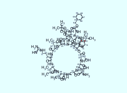 CC[C@H](C)[C@@H]1NC(=O)[C@@H](CCCNC(=N)N)NC(=O)[C@H](CC(C)C)NC(=O)[C@H]([C@H](O)C(C)C)NC(=O)[C@@H](NC(=O)[C@H](CC(C)C)NC(=O)[C@H](CNC(=O)OC(C)(C)C)NC(=O)OCc2ccccc2)[C@@H](c2ccccc2)OC(=O)[C@H](CO)NC(=O)[C@H]([C@H](O)C(N)=O)NC(=O)CNC(=O)[C@H]([C@H](C)O)NC1=O